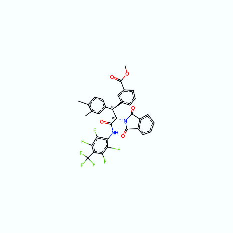 COC(=O)c1cccc([C@H](c2ccc(C)c(C)c2)[C@@H](C(=O)Nc2c(F)c(F)c(C(F)(F)F)c(F)c2F)N2C(=O)c3ccccc3C2=O)c1